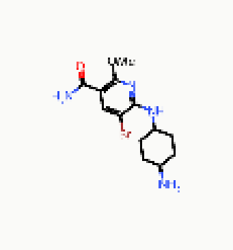 COc1nc(NC2CCC(N)CC2)c(Br)cc1C(N)=O